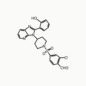 O=Cc1ccc(S(=O)(=O)N2CCC(n3c(-c4ccccc4O)nc4cccnc43)CC2)cc1Cl